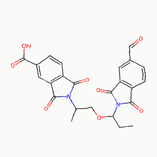 CCC(OCC(C)N1C(=O)c2ccc(C(=O)O)cc2C1=O)N1C(=O)c2ccc(C=O)cc2C1=O